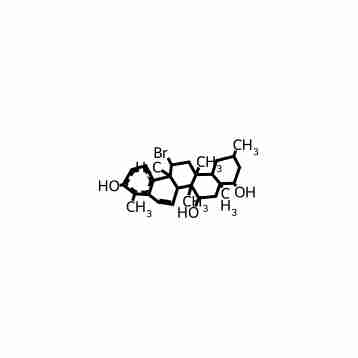 Cc1c(O)ccc2c1C=CC1C2(C)C(Br)CC2(C)C3CC(C)CC(O)C3(C)CC(O)C12C